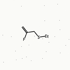 C=C(F)CSCC